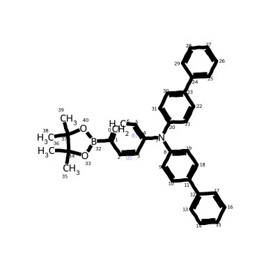 C=C(/C=C\C(=C/C)N(c1ccc(-c2ccccc2)cc1)c1ccc(-c2ccccc2)cc1)B1OC(C)(C)C(C)(C)O1